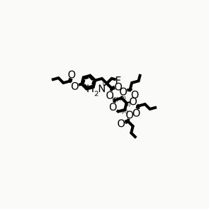 CCCC(=O)Oc1ccc(C[C@@](N)(CF)C(=O)O[C@@H]2OC[C@@H](OC(=O)CCC)[C@H](OC(=O)CCC)[C@H]2OC(=O)CCC)cc1